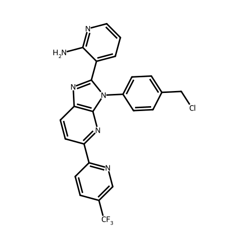 Nc1ncccc1-c1nc2ccc(-c3ccc(C(F)(F)F)cn3)nc2n1-c1ccc(CCl)cc1